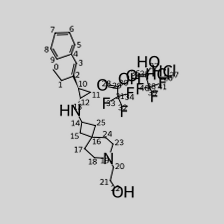 CC/C(=C\c1ccccc1)[C@H]1C[C@@H]1NC1CC2(CCN(CCO)CC2)C1.Cl.Cl.O=C(O)C(F)(F)F.O=C(O)C(F)(F)F